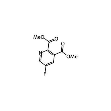 COC(=O)c1cc(F)cnc1C(=O)OC